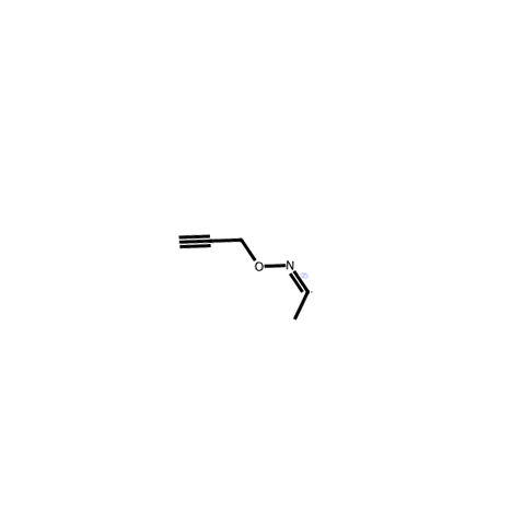 C#CCO/N=[C]\C